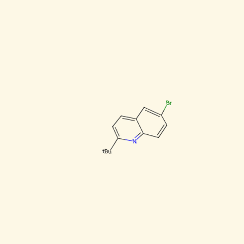 CC(C)(C)c1ccc2cc(Br)ccc2n1